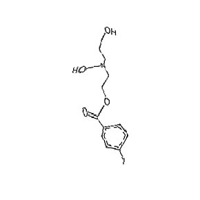 O=C(OCCN(O)CCO)c1ccc(I)cc1